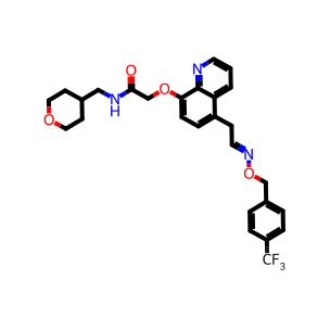 O=C(COc1ccc(CC=NOCc2ccc(C(F)(F)F)cc2)c2cccnc12)NCC1CCOCC1